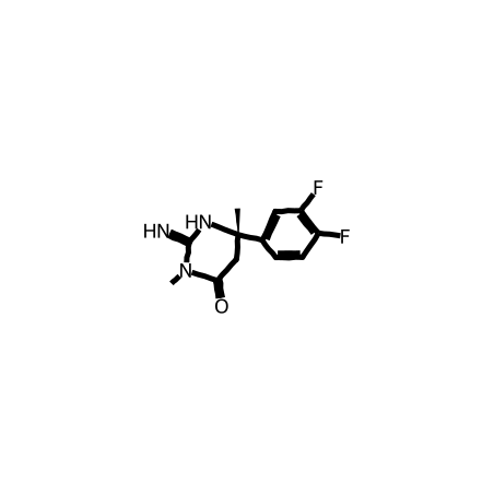 CN1C(=N)N[C@](C)(c2ccc(F)c(F)c2)CC1=O